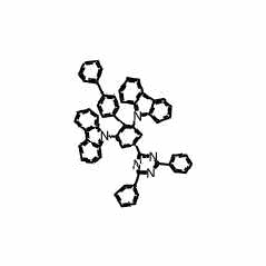 c1ccc(-c2ccc(-c3c(-n4c5ccccc5c5ccccc54)cc(-c4nc(-c5ccccc5)nc(-c5ccccc5)n4)cc3-n3c4ccccc4c4ccccc43)cc2)cc1